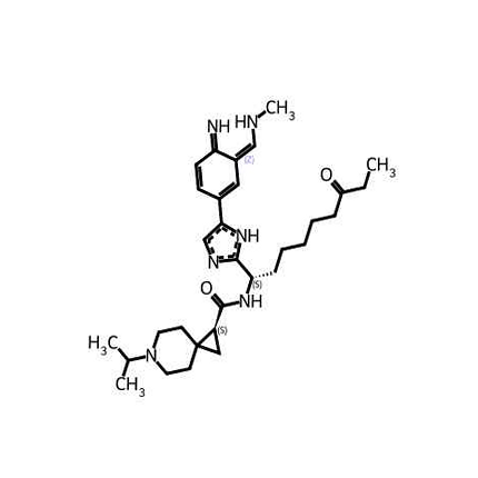 CCC(=O)CCCCC[C@H](NC(=O)[C@H]1CC12CCN(C(C)C)CC2)c1ncc(C2=C/C(=C/NC)C(=N)C=C2)[nH]1